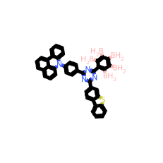 Bc1c(B)c(B)c(-c2nc(-c3ccc(N4c5ccccc5-c5cccc6cccc4c56)cc3)nc(-c3ccc4c(c3)sc3ccccc34)n2)c(B)c1B